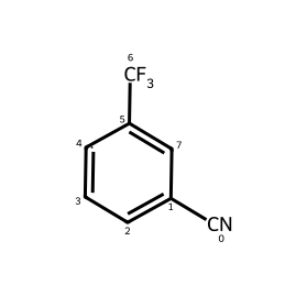 N#Cc1cc[c]c(C(F)(F)F)c1